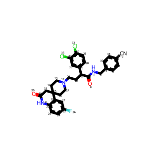 N#Cc1ccc(CNC(=O)C(CCN2CCC3(CC2)CC(=O)Nc2ccc(F)cc23)c2ccc(Cl)c(Cl)c2)cc1